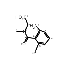 CN(CC(=O)O)C(=O)c1c(N)cccc1I